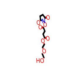 O=C(CCC(=O)ON1C(=O)CCC1=O)OCCOCCO